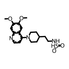 COc1cc2nccc(N3CCC(CCN[SH](=O)=O)CC3)c2cc1OC